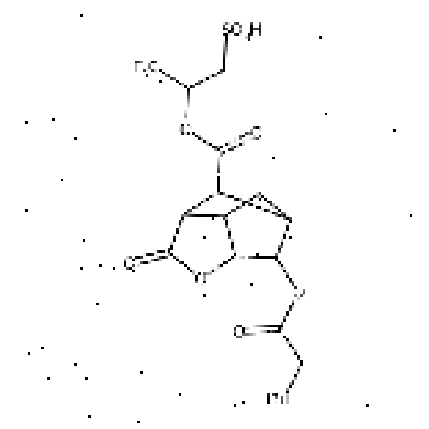 CCC(C)CC(=O)OC1C2CC3C1OC(=O)C3C2C(=O)OC(CS(=O)(=O)O)C(F)(F)F